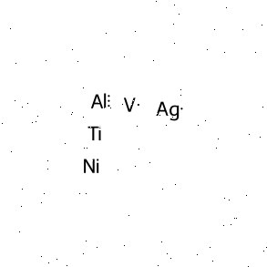 [Ag].[Al].[Ni].[Ti].[V]